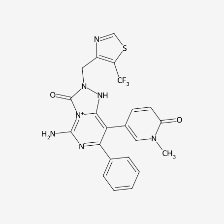 Cn1cc(-c2c(-c3ccccc3)nc(N)[n+]3c(=O)n(Cc4ncsc4C(F)(F)F)[nH]c23)ccc1=O